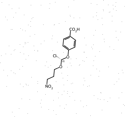 O=C(O)c1ccc(O[C@@H](Cl)OCCC[N+](=O)[O-])cc1